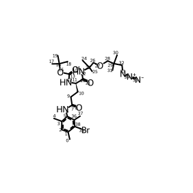 Cc1cc(C)c(NC(=O)CC[C@@H](NC(=O)OC(C)(C)C)C(=O)NC(C)(C)COCC(C)(C)CN=[N+]=[N-])c(C)c1Br